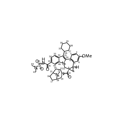 COc1ccc2c(c1)[C@@H]1C[C@]1(C(=O)N1CCC3CCC(C1)N3C)Cn1c-2c(C2CCCCC2)c2ccc(C(=O)NS(=O)(=O)N(C)C)cc21